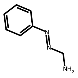 NC/N=N/c1ccccc1